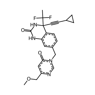 COCc1cc(=O)n(Cc2ccc3c(c2)NC(=O)NC3(C#CC2CC2)C(C)(F)F)cn1